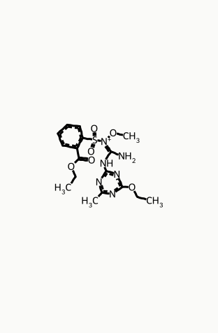 CCOC(=O)c1ccccc1S(=O)(=O)[N+](OC)=C(N)Nc1nc(C)nc(OCC)n1